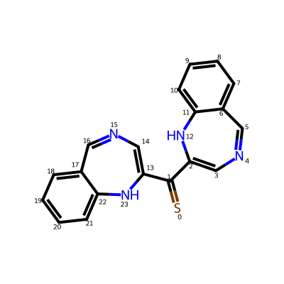 S=C(C1=CN=Cc2ccccc2N1)C1=CN=Cc2ccccc2N1